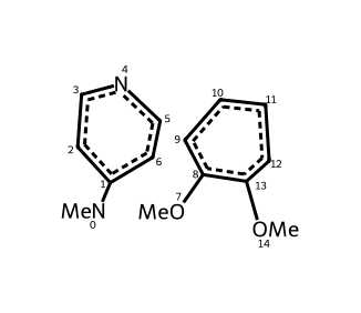 CNc1ccncc1.COc1ccccc1OC